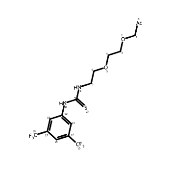 CC(=O)COCCOCCNC(=S)Nc1cc(C(F)(F)F)cc(C(F)(F)F)c1